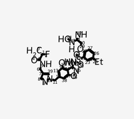 C=C(F)C(=O)NCc1cnn(Cc2cc(OC)c3c(NS(=O)(=O)c4cc(CC)ccc4OCC(=N)NO)noc3c2)c1